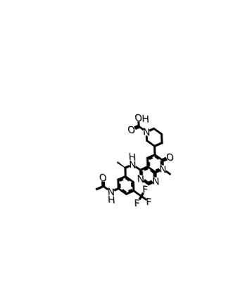 CC(=O)Nc1cc([C@@H](C)Nc2ncnc3c2cc(C2CCCN(C(=O)O)C2)c(=O)n3C)cc(C(F)(F)F)c1